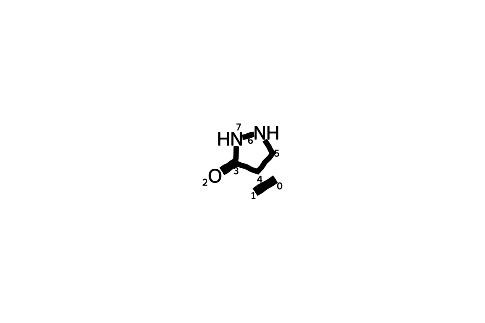 C=C.O=C1CCNN1